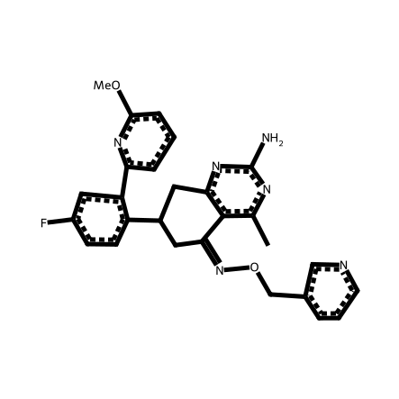 COc1cccc(-c2cc(F)ccc2C2C/C(=N/OCc3cccnc3)c3c(C)nc(N)nc3C2)n1